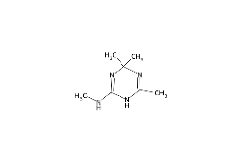 CNC1=NC(C)(C)N=C(C)N1